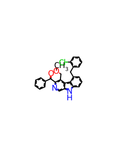 COCc1c(C(=O)c2ccccc2)ncc2[nH]c3cccc(Cc4ccccc4Cl)c3c12